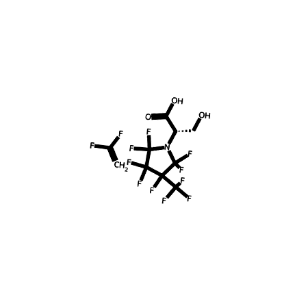 C=C(F)F.O=C(O)[C@H](CO)N1C(F)(F)C(F)(F)C(F)(C(F)(F)F)C1(F)F